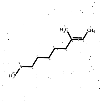 C/C=C(\C)CCCCCSP